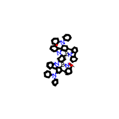 c1ccc(N(c2ccccc2)c2cc3c4c5c2c2ccccc2n5-c2cc5c(cc2B4n2c4ccccc4c4cccc-3c42)B2c3c(cc(N(c4ccccc4)c4ccccc4)c4c6ccccc6n-5c34)-c3cccc4c5ccccc5n2c34)cc1